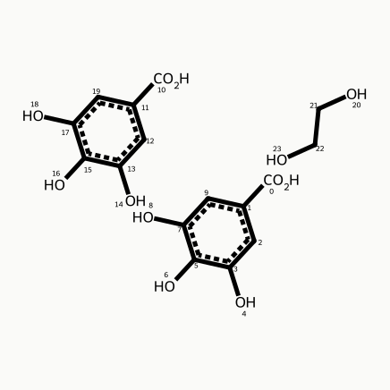 O=C(O)c1cc(O)c(O)c(O)c1.O=C(O)c1cc(O)c(O)c(O)c1.OCCO